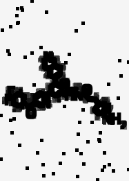 Nc1ccc(C=CC(=O)NCc2cc3cc(-c4ccc(C(=O)N5CCC(F)(F)CC5)cn4)cc(-c4ccc5cnccc5c4)c3o2)cn1